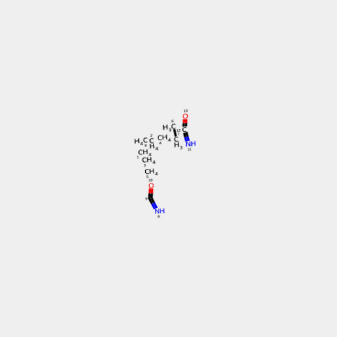 C.C.C.C.C.C.CC.N=C=O.N=C=O